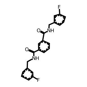 O=C(NCc1cccc(F)c1)c1cccc(C(=O)NCc2cccc(F)c2)c1